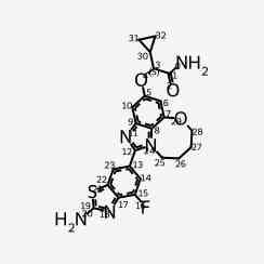 NC(=O)[C@@H](Oc1cc2c3c(c1)nc(-c1cc(F)c4nc(N)sc4c1)n3CCCCO2)C1CC1